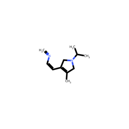 C=N/C=C\C1=C(C)CN(C(C)C)C1